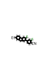 CCc1ccc2c(c1)Cc1cc(-c3ccc(C#N)c(F)c3)c(F)cc1-2